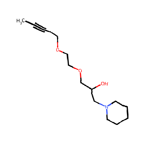 CC#CCOCCOCC(O)CN1CCCCC1